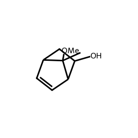 COC1(C)C2C=CC1C(O)C2